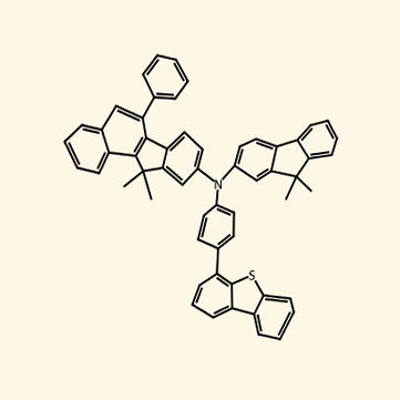 CC1(C)c2ccccc2-c2ccc(N(c3ccc(-c4cccc5c4sc4ccccc45)cc3)c3ccc4c(c3)C(C)(C)c3c-4c(-c4ccccc4)cc4ccccc34)cc21